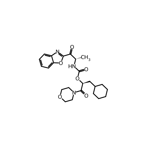 C[C@H](NC(=O)O[C@@H](CC1CCCCC1)C(=O)N1CCOCC1)C(=O)c1nc2ccccc2o1